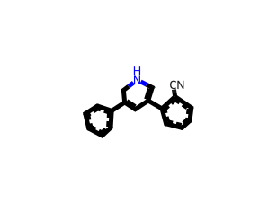 N#Cc1ccccc1C1=[C]NCC(c2ccccc2)=C1